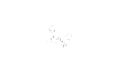 c1ccc(-c2nnc3cc(C45CCC(CC4)C5)c(OCc4ccccn4)nn23)cc1